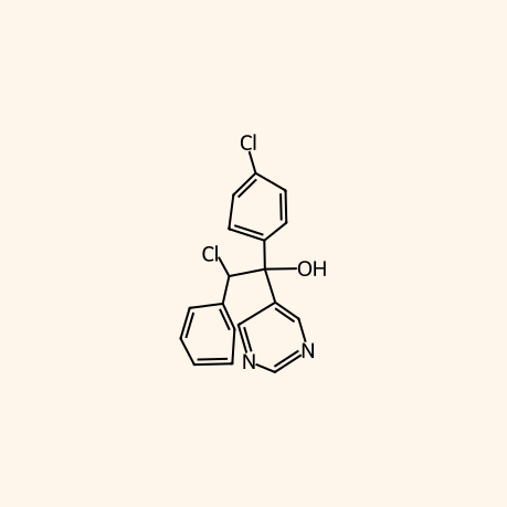 OC(c1ccc(Cl)cc1)(c1cncnc1)C(Cl)c1ccccc1